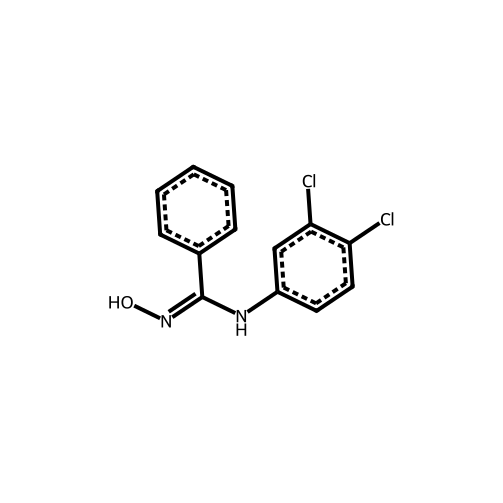 O/N=C(/Nc1ccc(Cl)c(Cl)c1)c1ccccc1